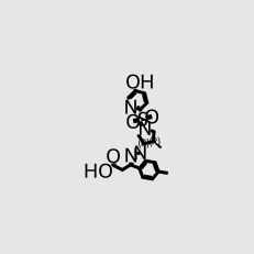 Cc1ccc2c(CC(=O)O)nn([C@H]3CN(S(=O)(=O)c4ccc(O)cn4)C[C@H]3C)c2c1